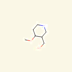 COC1CCNCC1CO